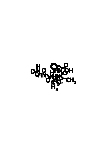 CC[C@H](C)[C@H](NC(=O)[C@H](C)NC(=O)CNC(=O)[C@@H]1CCC(=O)N1)C(=O)N[C@@H](Cc1ccccc1)C(=O)O